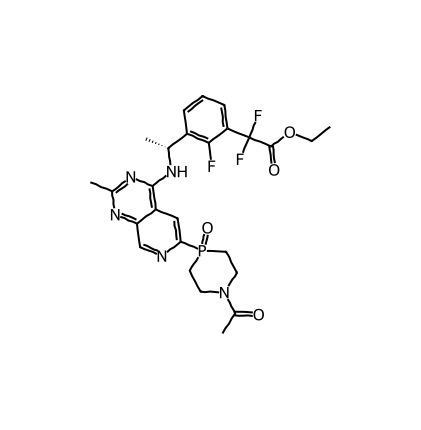 CCOC(=O)C(F)(F)c1cccc([C@@H](C)Nc2nc(C)nc3cnc(P4(=O)CCN(C(C)=O)CC4)cc23)c1F